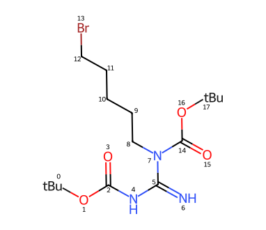 CC(C)(C)OC(=O)NC(=N)N(CCCCCBr)C(=O)OC(C)(C)C